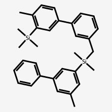 Cc1cc(-c2ccccc2)cc([Si](C)(C)Cc2cccc(-c3ccc(C)c([Si](C)(C)C)c3)c2)c1